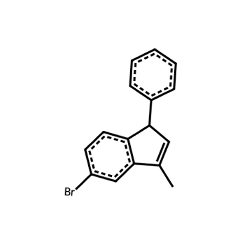 CC1=CC(c2ccccc2)c2ccc(Br)cc21